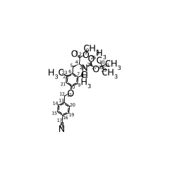 COC(=O)[C@H](Cc1c(C)cc(OCc2ccc(C#N)cc2)cc1C)NC(=O)OC(C)(C)C